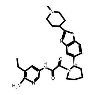 CCc1cc(NC(=O)C(=O)N2CCCC[C@@H]2c2ccc3sc(C4CCN(C)CC4)nc3c2)cnc1N